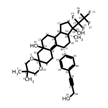 CC1(C)COC2(CCC3=C4C(CCC3(O)C2)C2CCC(O)(C(F)(F)C(F)(F)F)[C@@]2(C)C[C@@H]4c2ccc(C#CCO)cc2)OC1